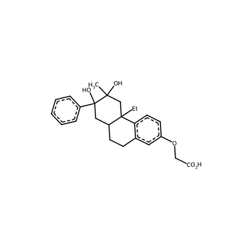 CCC12CC(C)(O)C(O)(c3ccccc3)CC1CCc1cc(OCC(=O)O)ccc12